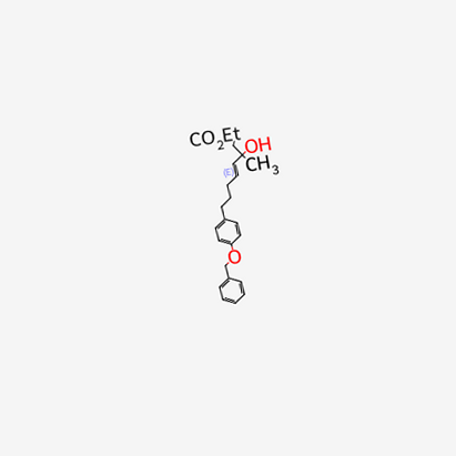 CCOC(=O)CC(C)(O)/C=C/CCCc1ccc(OCc2ccccc2)cc1